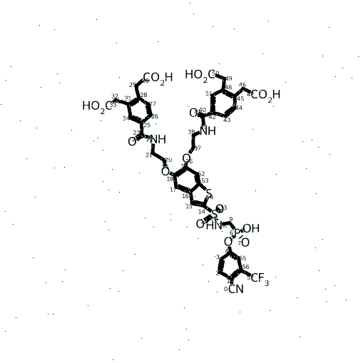 N#Cc1ccc(OP(=O)(O)CNS(=O)(=O)c2cc3cc(OCCNC(=O)c4ccc(CC(=O)O)c(CC(=O)O)c4)c(OCCNC(=O)c4ccc(CC(=O)O)c(CC(=O)O)c4)cc3s2)cc1C(F)(F)F